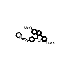 COc1ccc(-c2ccc3cc(OC)ccc3c2C(O)C2=CCC(OCCN3CCCCC3)C=C2)cc1